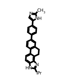 Cc1ncc(-c2ccc(-c3ccc4c(c3)CCc3c-4ccc4[nH]c(C(C)C)nc34)cc2)[nH]1